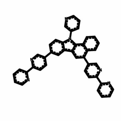 c1ccc(-c2ccc(-c3ccc4c(c3)c3cc(-c5ccc(-c6ccccn6)nc5)c5ccccc5c3n4-c3cccnc3)cn2)nc1